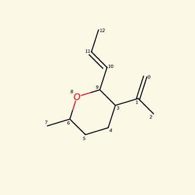 C=C(C)C1CCC(C)OC1C=CC